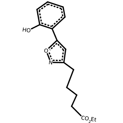 CCOC(=O)CCCCc1cc(-c2ccccc2O)on1